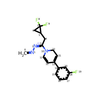 C=N/N=C(/CC1CC1(F)F)N1C=CC(c2cccc(F)c2)=CC1